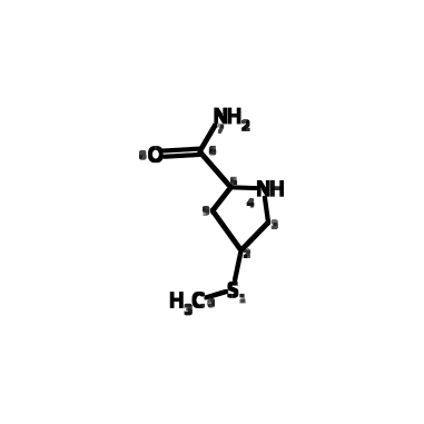 CSC1CNC(C(N)=O)C1